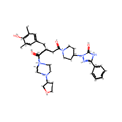 Cc1cc(C[C@@H](CC(=O)N2CCC(n3nc(-c4ccccc4)[nH]c3=O)CC2)C(=O)N2CCN(C3CCOC3)CC2)cc(C)c1O